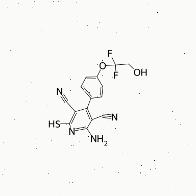 N#Cc1c(N)nc(S)c(C#N)c1-c1ccc(OC(F)(F)CO)cc1